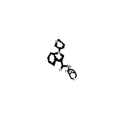 CN1C2COCC1CC(NC(=O)c1cn(-c3cccnc3)c3ccccc13)C2